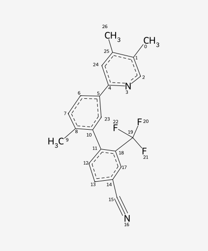 Cc1cnc(-c2ccc(C)c(-c3ccc(C#N)cc3C(F)(F)F)c2)cc1C